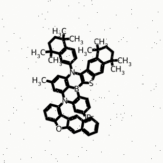 Cc1cc2c3c(c1)N(c1cccc4oc5cc6ccccc6cc5c14)c1cc(C(C)C)ccc1B3c1sc3cc4c(cc3c1N2c1ccc2c(c1)C(C)(C)CCC2(C)C)C(C)(C)CCC4(C)C